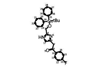 CC(C)(C)[Si](OCc1nc(CC(=O)c2ccc(F)cc2)c[nH]1)(c1ccccc1)c1ccccc1